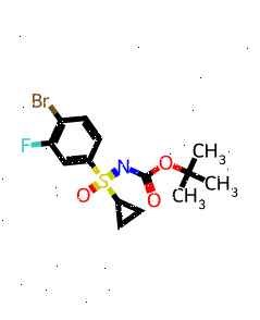 CC(C)(C)OC(=O)N=S(=O)(c1ccc(Br)c(F)c1)C1CC1